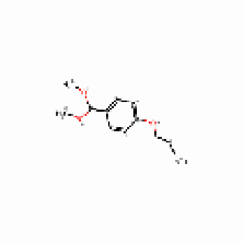 CCCOc1ccc(C(OC)OC)cc1